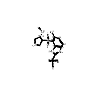 CO[C@H]1COCC1S(=O)(=O)c1c(Cl)ccc2nc(C(C)(C)C)oc12